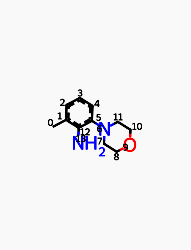 Cc1cccc(N2CCOCC2)c1N